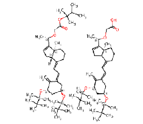 C=C1C(=CC=C2CCC[C@]3(C)C([C@H](C)OCC(=O)O)=CCC23)C[C@@H](O[Si](C)(C)C(C)(C)C)C[C@@H]1O[Si](C)(C)C(C)(C)C.C=C1C(=CC=C2CCC[C@]3(C)C([C@H](C)OCC(=O)OC(C)(C)C(C)C)=CC[C@@H]23)C[C@@H](O[Si](C)(C)C(C)(C)C)C[C@@H]1O[Si](C)(C)C(C)(C)C